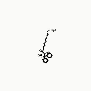 CCCCCCCSCCCCCCC=CCC(=O)N1C(=S)OC(c2ccccc2)(c2ccccc2)[C@@H]1C(C)C